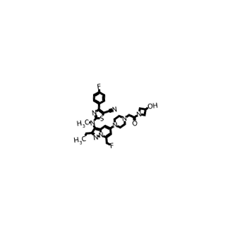 CCc1nn2c(CF)cc(N3CCN(CC(=O)N4CC(O)C4)CC3)cc2c1N(C)c1nc(-c2ccc(F)cc2)c(C#N)s1